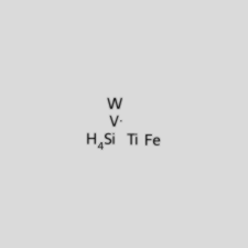 [Fe].[SiH4].[Ti].[V].[W]